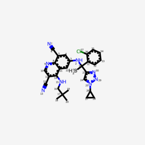 BC(Nc1cc(C#N)c2ncc(C#N)c(NCC(C)(C)C)c2c1)(c1cn(C2CC2)nn1)c1ccccc1Cl